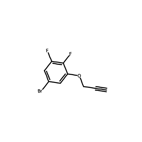 C#CCOc1cc(Br)cc(F)c1F